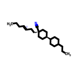 CCC/C=C/CC[C@]1(C#N)CC[C@@H](C2CCC(CCC)CC2)CC1